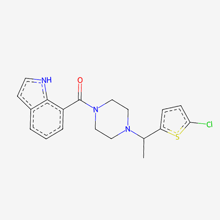 CC(c1ccc(Cl)s1)N1CCN(C(=O)c2cccc3cc[nH]c23)CC1